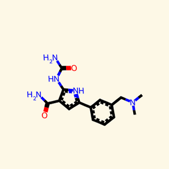 CN(C)Cc1cccc(-c2cc(C(N)=O)c(NC(N)=O)[nH]2)c1